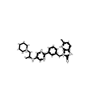 Cc1ccc2oc(=O)n(Cc3cccc(-c4ncc(OC(C)CN5CCCCC5)cn4)c3)c2n1